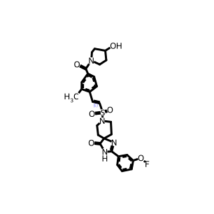 Cc1cc(C(=O)N2CCC(O)CC2)ccc1/C=C/S(=O)(=O)N1CCC2(CC1)N=C(c1cccc(OF)c1)NC2=O